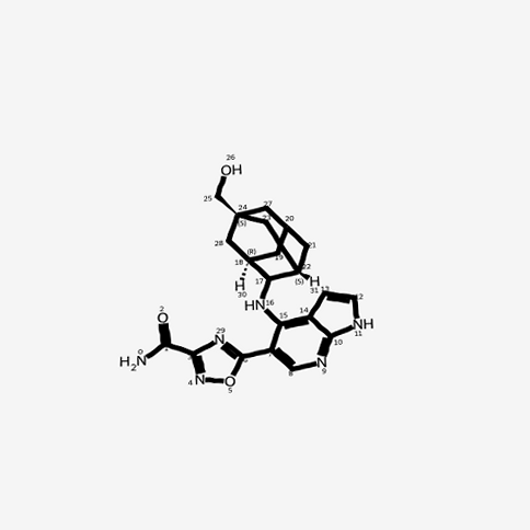 NC(=O)c1noc(-c2cnc3[nH]ccc3c2NC2[C@@H]3CC4C[C@H]2C[C@@](CO)(C4)C3)n1